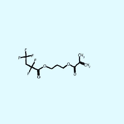 C=C(C)C(=O)OCCCOC(=O)C(F)(F)CC(F)(F)F